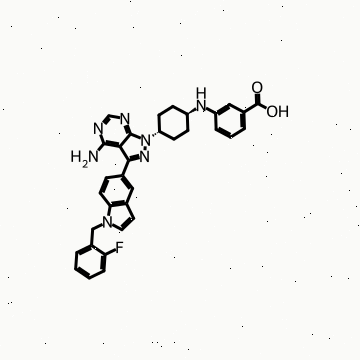 Nc1ncnc2c1c(-c1ccc3c(ccn3Cc3ccccc3F)c1)nn2[C@H]1CC[C@H](Nc2cccc(C(=O)O)c2)CC1